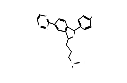 CN(C)CCCC1OC(c2ccc(F)cc2)c2ccc(-c3nccnn3)cc21